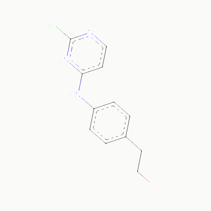 OCCc1ccc(Nc2ccnc(Cl)n2)cc1